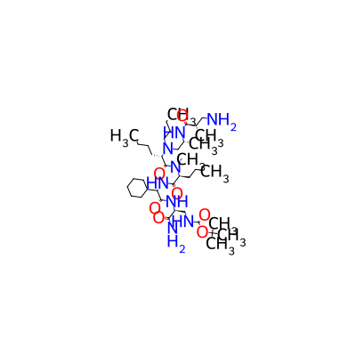 CCCC[C@@H](C(=O)N(C)[C@@H](CCC)C(=O)N[C@H](C(=O)N[C@@H](CNC(=O)OC(C)(C)C)C(N)=O)C1CCCCC1)N(CCCC)C[C@@H](C)NC(=O)[C@@H](C)CN